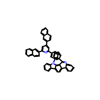 c1ccc(-c2nc3ccccc3c3ccc4c5ccccc5n(-c5cccc(-c6cc(-c7ccc8ccccc8c7)cc(-c7ccc8ccccc8c7)n6)c5)c4c23)cc1